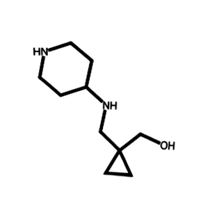 OCC1(CNC2CCNCC2)CC1